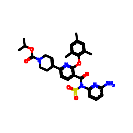 Cc1cc(C)c(Oc2nc(C3=CCN(C(=O)OC(C)C)CC3)ccc2C(=O)N(c2cccc(N)n2)[SH](=O)=O)c(C)c1